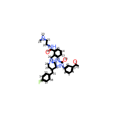 CC(=O)c1cccc(NC(=O)Nc2cccc(C(=O)NCCN(C)C)c2CN2CCC(Cc3ccc(F)cc3)CC2)c1